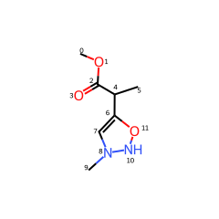 COC(=O)C(C)C1=CN(C)NO1